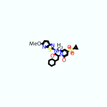 COc1ccc2nc(NC(=O)C(CC3CCCCC3)n3c(C)cc(S(=O)(=O)C4CC4)cc3=O)sc2n1